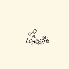 CC1C=CC2=C1C1=CN(c3ccccc3Cl)CC3N(COS(C)(=O)=O)NCN3C1=S2C